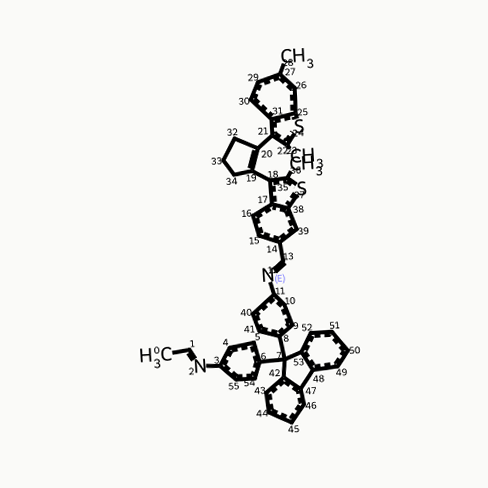 CC=Nc1ccc(C2(c3ccc(/N=C/c4ccc5c(C6=C(c7c(C)sc8cc(C)ccc78)CCC6)c(C)sc5c4)cc3)c3ccccc3-c3ccccc32)cc1